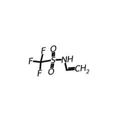 C=CNS(=O)(=O)C(F)(F)F